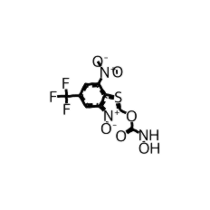 O=C(NO)Oc1sc2c([N+](=O)[O-])cc(C(F)(F)F)cc2[n+]1[O-]